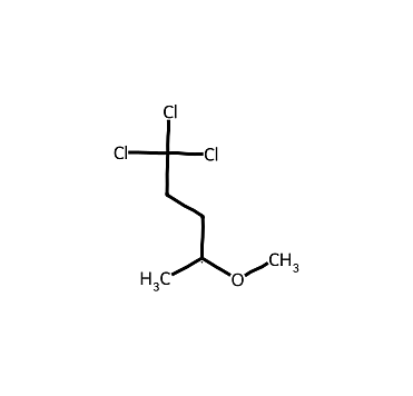 CO[C](C)CCC(Cl)(Cl)Cl